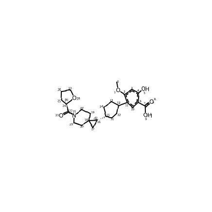 COc1cc(O)c(C(=O)O)cc1C1CCC([C@@H]2CC23CCN(C(=O)[C@H]2CCCO2)CC3)CC1